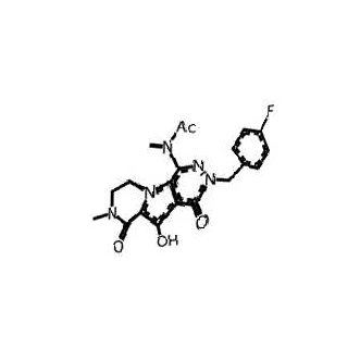 CC(=O)N(C)c1nn(Cc2ccc(F)cc2)c(=O)c2c(O)c3n(c12)CCN(C)C3=O